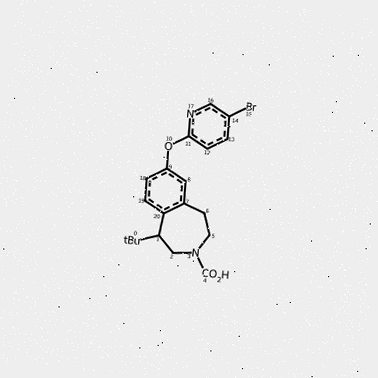 CC(C)(C)C1CN(C(=O)O)CCc2cc(Oc3ccc(Br)cn3)ccc21